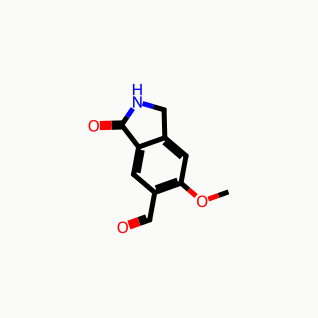 COc1cc2c(cc1C=O)C(=O)NC2